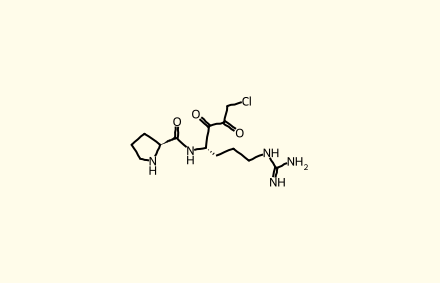 N=C(N)NCCC[C@H](NC(=O)[C@@H]1CCCN1)C(=O)C(=O)CCl